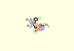 CNC(=O)NS(=O)(=O)c1sc(C(C)NC(=O)c2cc(Cl)ccc2OC)cc1OC(F)(F)F